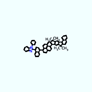 CC1(C)c2cc3c(cc2-c2c1ccc1ccccc21)C(C)(C)c1cc2ccc4c(-c5ccc(-c6nc7ccccc7n6-c6ccccc6)c6ccccc56)ccc5ccc(c1-3)c2c54